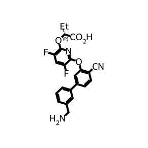 CC[C@@H](Oc1nc(Oc2cc(-c3cccc(CN)c3)ccc2C#N)c(F)cc1F)C(=O)O